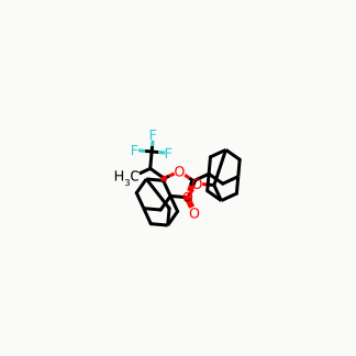 CC(COC(=O)C12CC3CC(C1)C(OC(=O)C14CC5CC(CC(C5)C1)C4)C(C3)C2)C(F)(F)F